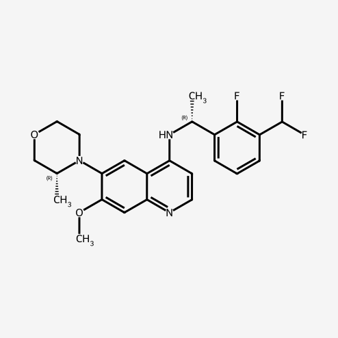 COc1cc2nccc(N[C@H](C)c3cccc(C(F)F)c3F)c2cc1N1CCOC[C@H]1C